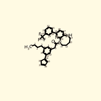 CCCCc1cc(CC(=O)N2CCCCNc3ccc(-c4cccc(C(F)(F)F)c4)nc32)cc(C2=CC=CC2)c1